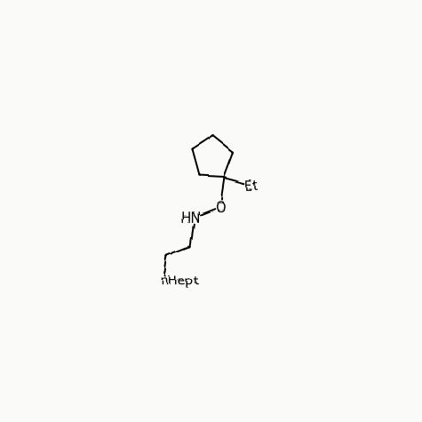 CCCCCCCCCNOC1(CC)CCCC1